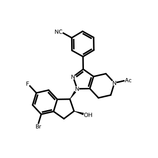 CC(=O)N1CCc2c(c(-c3cccc(C#N)c3)nn2[C@@H]2c3cc(F)cc(Br)c3C[C@@H]2O)C1